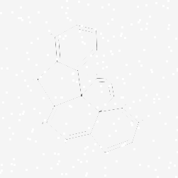 C1=CC2=CC=C3Cc4ccccc4C34C=CC=CC24C=C1